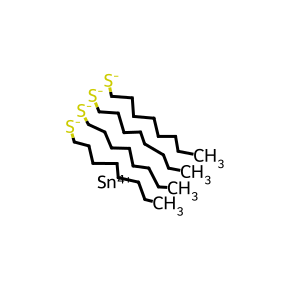 CCCCCCCC[S-].CCCCCCCC[S-].CCCCCCCC[S-].CCCCCCCC[S-].[Sn+4]